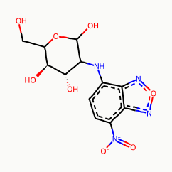 O=[N+]([O-])c1ccc(NC2C(O)OC(CO)[C@H](O)[C@H]2O)c2nonc12